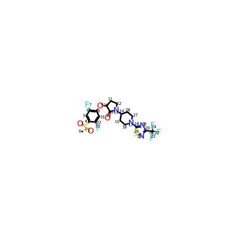 CS(=O)(=O)c1cc(F)c(OC2CCN(C3CCN(c4nc(C(F)(F)F)ns4)CC3)C2=O)cc1F